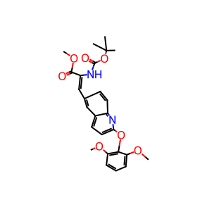 COC(=O)C(=Cc1ccc2nc(Oc3c(OC)cccc3OC)ccc2c1)NC(=O)OC(C)(C)C